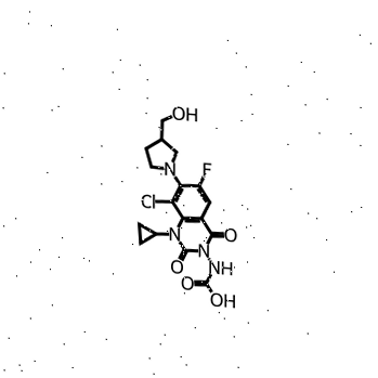 O=C(O)Nn1c(=O)c2cc(F)c(N3CCC(CO)C3)c(Cl)c2n(C2CC2)c1=O